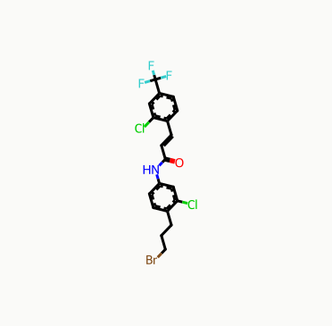 O=C(C=Cc1ccc(C(F)(F)F)cc1Cl)Nc1ccc(CCCBr)c(Cl)c1